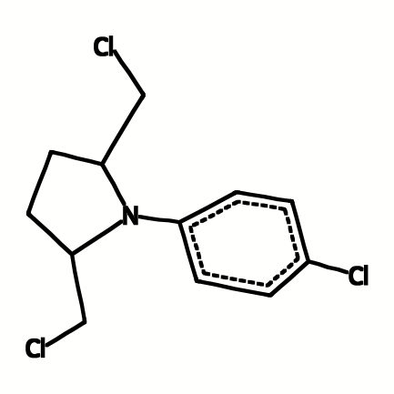 ClCC1CCC(CCl)N1c1ccc(Cl)cc1